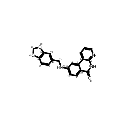 O=c1[nH]c2ncccc2c2cc(NCc3ccc4c(c3)OCO4)ccc12